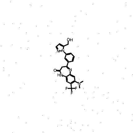 CN(C)c1cc2c(cc1C(F)(F)F)NC(=O)CC(c1cccc(-n3nccc3CO)c1)=N2